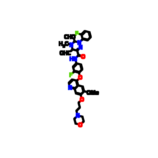 COc1cc2c(Oc3ccc(NC(=O)C4=NN(c5ccccc5F)C(C=O)N(C)C4C=O)cc3F)ccnc2cc1OCCCN1CCOCC1